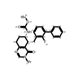 CC(C)n1cnc2c(c1=O)[C@@H](Cc1cccc(-c3ccccc3)c1F)[C@@H](NC(=O)OC(C)(C)C)CC2